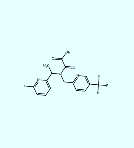 CC(c1cccc(F)n1)N(Cc1ccc(C(F)(F)F)cn1)C(=O)C(=O)O